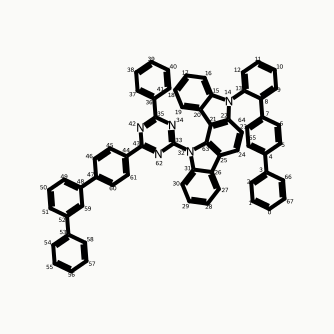 c1ccc(-c2ccc(-c3ccccc3-n3c4ccccc4c4c3ccc3c5ccccc5n(-c5nc(-c6ccccc6)nc(-c6ccc(-c7cccc(-c8ccccc8)c7)cc6)n5)c34)cc2)cc1